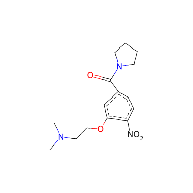 CN(C)CCOc1cc(C(=O)N2CCCC2)ccc1[N+](=O)[O-]